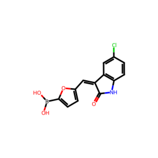 O=C1Nc2ccc(Cl)cc2C1=Cc1ccc(B(O)O)o1